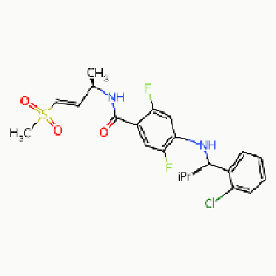 CC(C)[C@@H](Nc1cc(F)c(C(=O)N[C@H](C)/C=C/S(C)(=O)=O)cc1F)c1ccccc1Cl